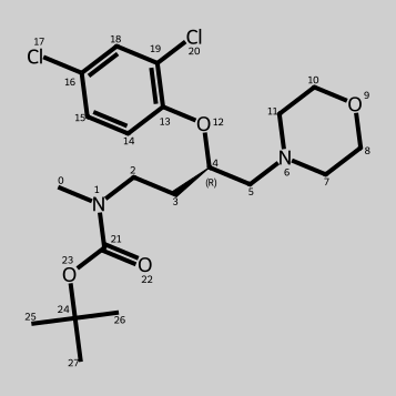 CN(CC[C@H](CN1CCOCC1)Oc1ccc(Cl)cc1Cl)C(=O)OC(C)(C)C